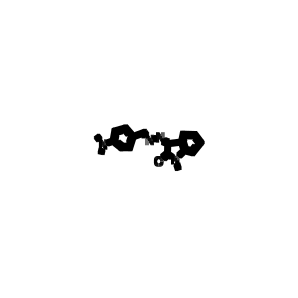 CN(C)c1ccc(/C=N/N=C2\C(=O)N(C)c3ccccc32)cc1